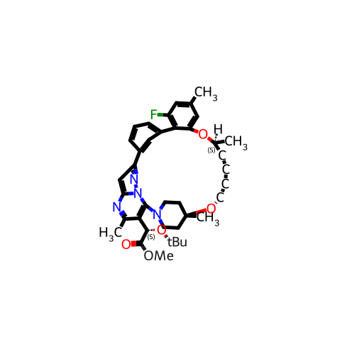 COC(=O)[C@@H](OC(C)(C)C)c1c(C)nc2cc3nn2c1N1CCC(C)(CC1)OCCCC[C@H](C)Oc1cc(C)cc(F)c1-c1cccc-3c1